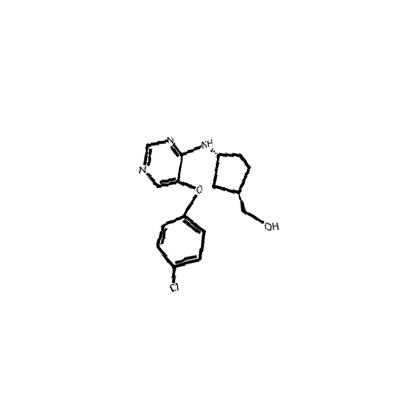 OC[C@@H]1CC[C@@H](Nc2ncncc2Oc2ccc(Cl)cc2)C1